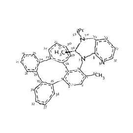 Cc1ccc2c(c1N1c3ncccc3N(C(C)C)[C@@H]1C)-c1ccccc1-c1ccccc1-c1ccccc1-2